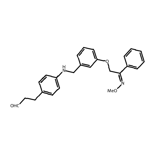 CO/N=C(\COc1cccc(CNc2ccc(CCC=O)cc2)c1)c1ccccc1